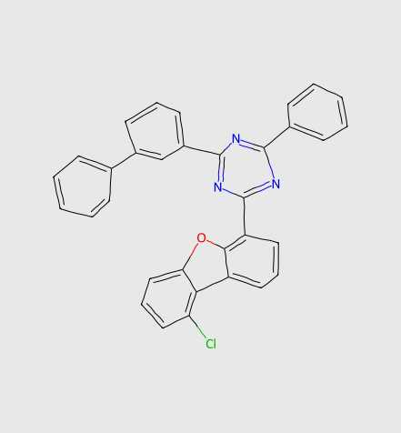 Clc1cccc2oc3c(-c4nc(-c5ccccc5)nc(-c5cccc(-c6ccccc6)c5)n4)cccc3c12